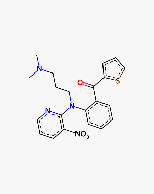 CN(C)CCCN(c1ccccc1C(=O)c1cccs1)c1ncccc1[N+](=O)[O-]